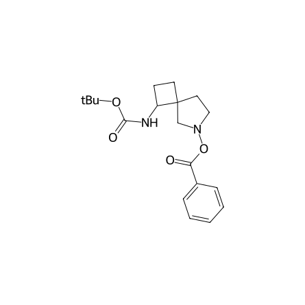 CC(C)(C)OC(=O)NC1CCC12CCN(OC(=O)c1ccccc1)C2